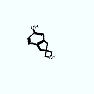 Oc1ccc2c(c1)CC1(CNC1)C2